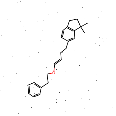 CC1(C)CCc2ccc(CCC=COCCc3ccccc3)cc21